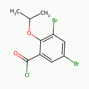 CC(C)Oc1c(Br)cc(Br)cc1C(=O)Cl